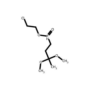 COC(C)(CC[PH](=O)OCCCl)OC